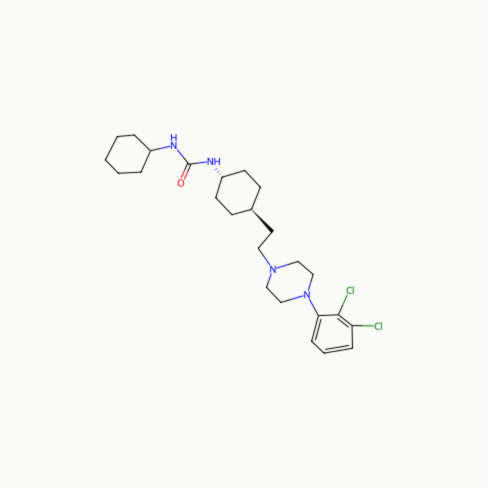 O=C(NC1CCCCC1)N[C@H]1CC[C@H](CCN2CCN(c3cccc(Cl)c3Cl)CC2)CC1